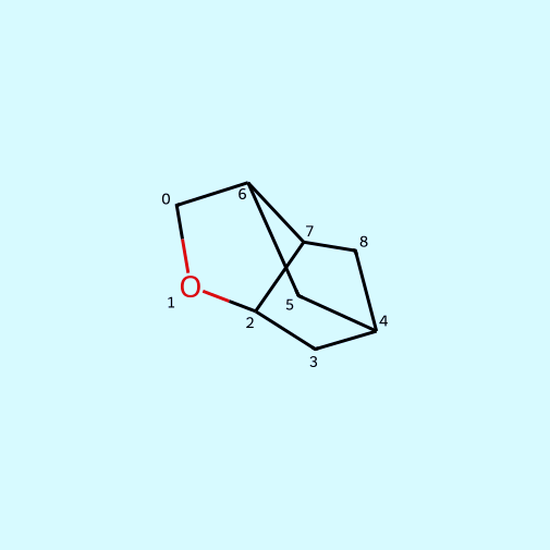 C1OC2CC3CC1C2C3